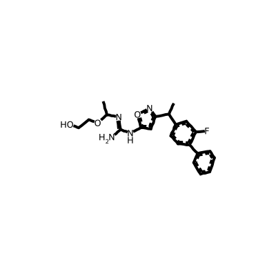 CC(N=C(N)Nc1cc(C(C)c2ccc(-c3ccccc3)c(F)c2)no1)OCCO